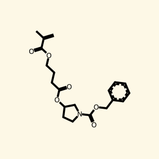 C=C(C)C(=O)OCCCC(=O)OC1CCN(C(=O)OCc2ccccc2)C1